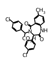 Cc1ccc2c(c1)C(=O)N(C(C(=O)O)c1ccc(Cl)cc1)C(c1ccc(Cl)cc1)C(=O)N2